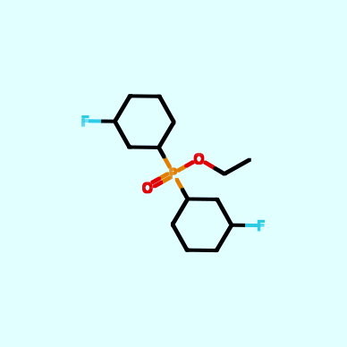 CCOP(=O)(C1CCCC(F)C1)C1CCCC(F)C1